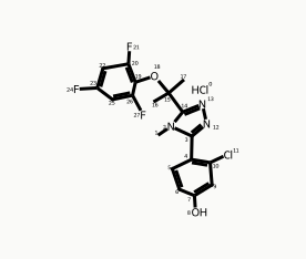 Cl.Cn1c(-c2ccc(O)cc2Cl)nnc1C(C)(C)Oc1c(F)cc(F)cc1F